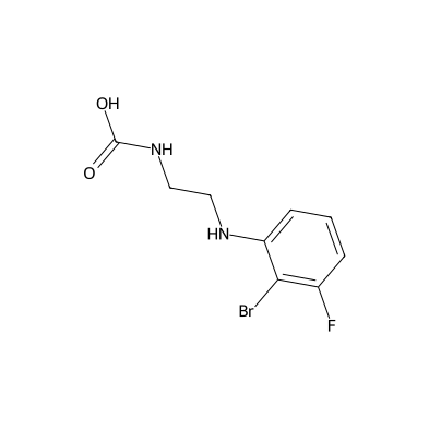 O=C(O)NCCNc1cccc(F)c1Br